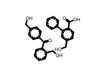 O=C(O)c1ccc(CO)cc1-c1ccccc1.O=C(c1ccc(CO)cc1)c1ccccc1CO